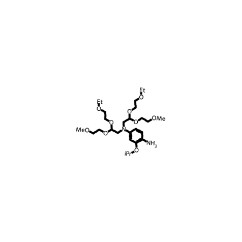 CCOCCOC(CN(CC(OCCOC)OCCOCC)c1ccc(N)c(OC(C)C)c1)OCCOC